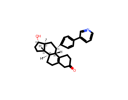 C[C@]12C[C@H](c3ccc(-c4cccnc4)cc3)[C@@H]3C4=C(CC[C@H]3[C@@H]1CC[C@@H]2O)CC(=O)CC4